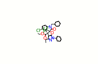 CCOC(=O)[C@@]1(C(F)(F)F)c2c(CC)nn(-c3ccccc3)c2O[C@@]12C(=O)N(Cc1ccccc1)c1ccc(Cl)cc12